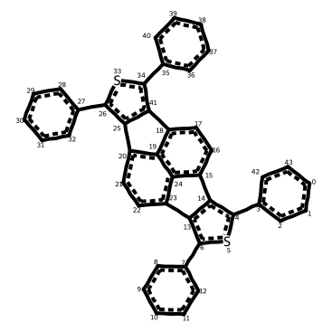 c1ccc(-c2sc(-c3ccccc3)c3c2-c2ccc4c5c(ccc-3c25)-c2c(-c3ccccc3)sc(-c3ccccc3)c2-4)cc1